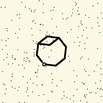 C1COCC2CC(C1)C2